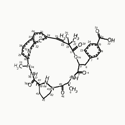 C[C@@H]1NC(=O)C(Cc2ccc(C(=O)O)cc2)OC(=O)C(C)(C)/C=C/c2ccc3ccc(nc3c2)N(C)NC(=O)[C@@H]2CCCN(N2)C1=O